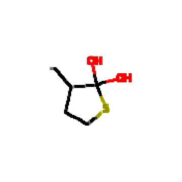 [CH2]C1CCSC1(O)O